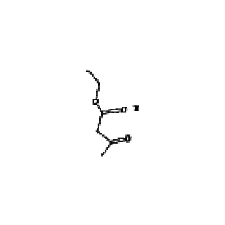 [CH2]COC(=O)CC(C)=O.[Ti]